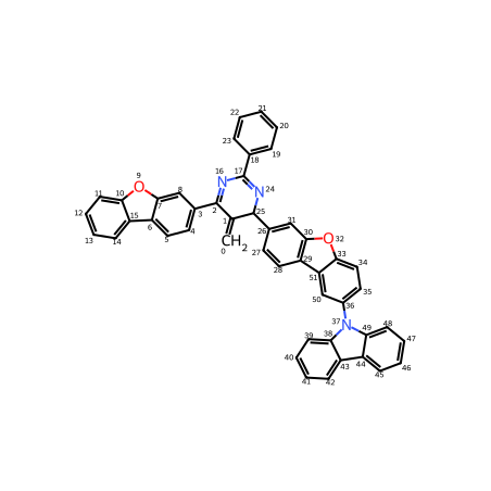 C=C1C(c2ccc3c(c2)oc2ccccc23)=NC(c2ccccc2)=NC1c1ccc2c(c1)oc1ccc(-n3c4ccccc4c4ccccc43)cc12